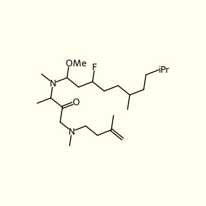 C=C(C)CCN(C)CC(=O)C(C)N(C)C(CC(F)CCC(C)CCC(C)C)OC